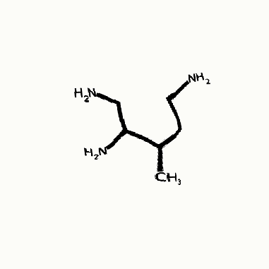 CC(CCN)C(N)CN